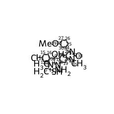 C=C(S)N(C)/C(=N\N)C(O)(c1ccc(Cl)cc1)c1ccc2c(c1)c(-c1cccc(OC)c1)nc(=O)n2C